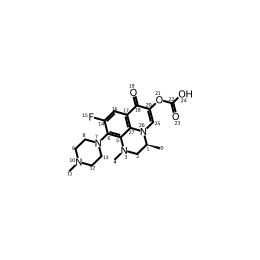 C[C@H]1CN(C)c2c(N3CCN(C)CC3)c(F)cc3c(=O)c(OC(=O)O)cn1c23